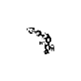 O=C1NC2(CCC2)Cc2[nH]c3c(c21)CCc1cnc(-c2ccc(N4CCOCC4)nc2)nc1-3